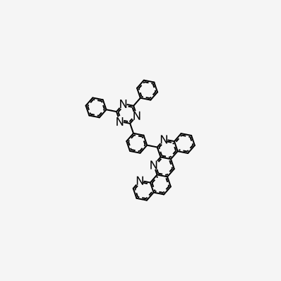 c1ccc(-c2nc(-c3ccccc3)nc(-c3cccc(-c4nc5ccccc5c5cc6ccc7cccnc7c6nc45)c3)n2)cc1